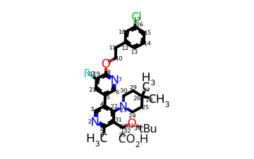 Cc1ncc(-c2cnc(OCCc3cccc(Cl)c3)c(F)c2)c(N2CCC(C)(C)CC2)c1[C@H](OC(C)(C)C)C(=O)O